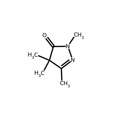 CC1=NN(C)C(=O)C1(C)C